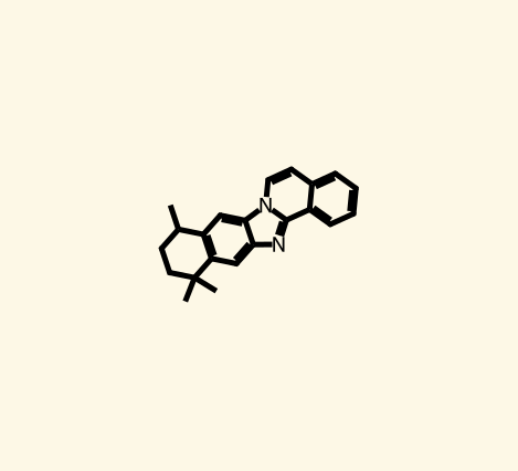 CC1CCC(C)(C)c2cc3nc4c5ccccc5ccn4c3cc21